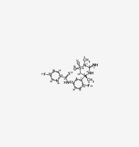 CN1C(=N)N[C@](C)(c2cc(NC(=S)c3ccc(F)cn3)ccc2F)CS1(=O)=O